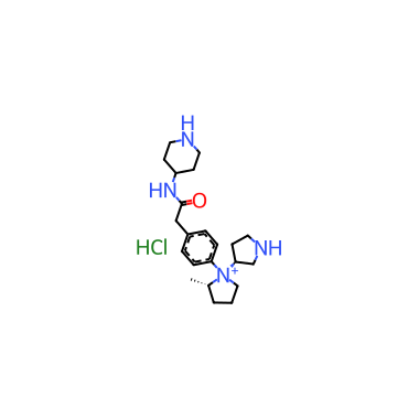 C[C@H]1CCC[N+]1(c1ccc(CC(=O)NC2CCNCC2)cc1)[C@H]1CCNC1.Cl